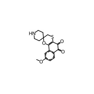 COc1ccc2c(c1)C1=C(SCC3(CCNCC3)O1)C(=O)C2=O